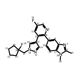 Cc1nc2cc(-c3ncc(F)cc3-c3cnn(CC4(F)CCCC4)c3)ccc2n1C